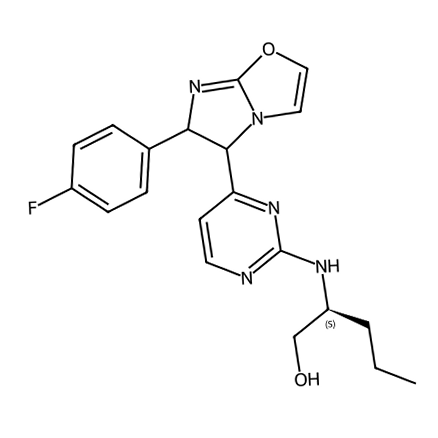 CCC[C@@H](CO)Nc1nccc(C2C(c3ccc(F)cc3)N=C3OC=CN32)n1